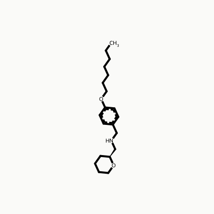 CCCCCCCOc1ccc(CNC[C@@H]2CCCCO2)cc1